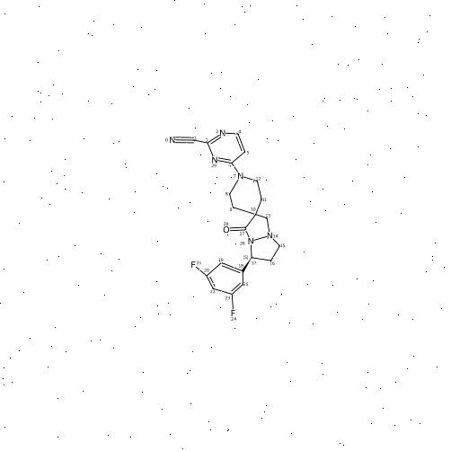 N#Cc1nccc(N2CCC3(CC2)CN2CC[C@@H](c4cc(F)cc(F)c4)N2C3=O)n1